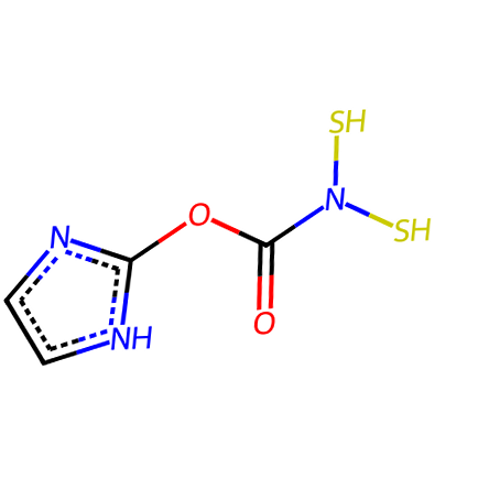 O=C(Oc1ncc[nH]1)N(S)S